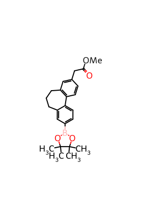 COC(=O)Cc1ccc2c(c1)CCCc1cc(B3OC(C)(C)C(C)(C)O3)ccc1-2